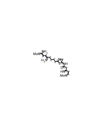 CN/C=C\C(=N)CC(=O)Nc1nnc(CCCC/C(N)=C/C=C(\N)NC)s1